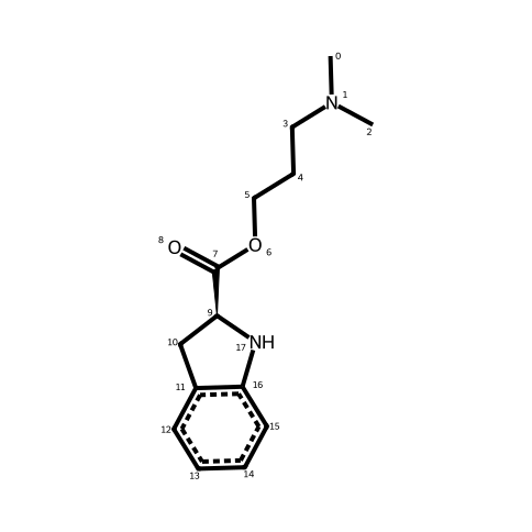 CN(C)CCCOC(=O)[C@@H]1Cc2ccccc2N1